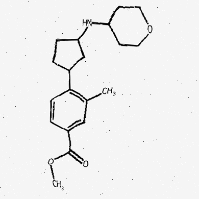 COC(=O)c1ccc(C2CCC(NC3CCOCC3)C2)c(C)c1